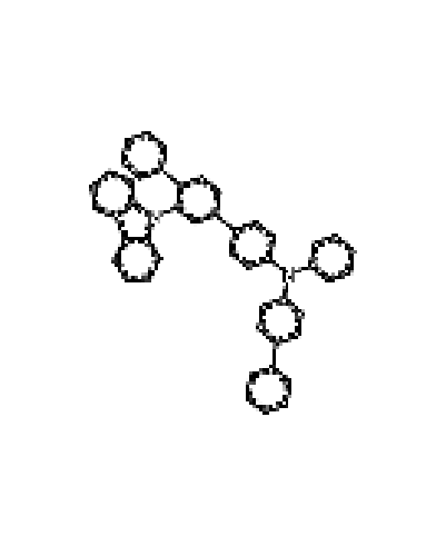 c1ccc(-c2ccc(N(c3ccccc3)c3ccc(-c4ccc(-c5ccccc5)c(-n5c6ccccc6c6ccccc65)c4)cc3)cc2)cc1